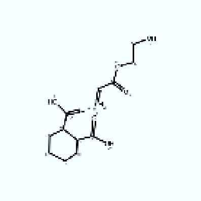 C=CC(=O)OCCO.O=C(O)C1CCCCC1C(=O)O